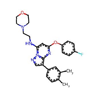 Cc1ccc(-c2cnn3c(NCCN4CCOCC4)cc(Oc4ccc(F)cc4)nc23)cc1C